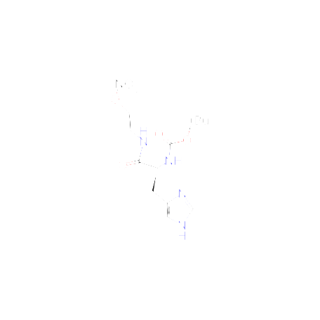 CC(C)(C)OC(=O)N[C@@H](Cc1c[nH]cn1)C(=O)NCCO[N+](=O)[O-]